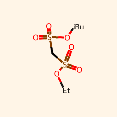 CCOS(=O)(=O)CS(=O)(=O)OC(C)CC